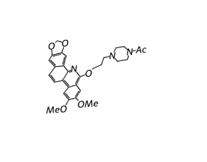 COc1cc2c(OCCCN3CCN(C(C)=O)CC3)nc3c4cc5c(cc4ccc3c2cc1OC)OCO5